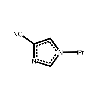 CC(C)n1[c]c(C#N)nc1